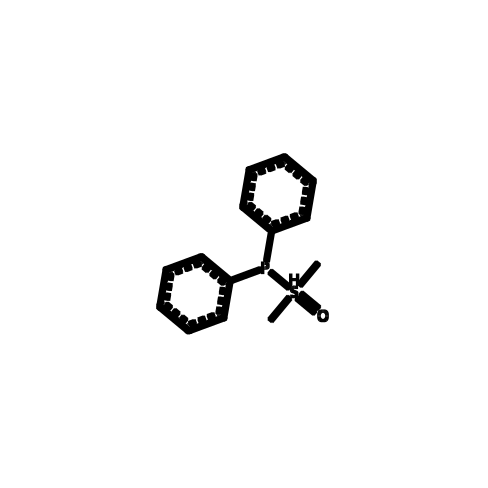 C[SH](C)(=O)P(c1ccccc1)c1ccccc1